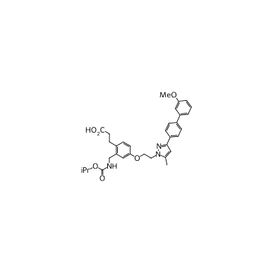 COc1cccc(-c2ccc(-c3cc(C)n(CCOc4ccc(CCC(=O)O)c(CNC(=O)OC(C)C)c4)n3)cc2)c1